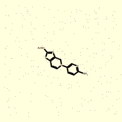 CC(=O)Nc1nc2c(s1)C=CN(c1ccc(N)nc1)C2